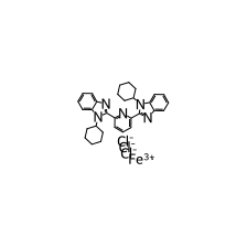 [Cl-].[Cl-].[Cl-].[Fe+3].c1cc(-c2nc3ccccc3n2C2CCCCC2)nc(-c2nc3ccccc3n2C2CCCCC2)c1